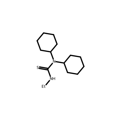 CCNC(=S)N(C1CCCCC1)C1CCCCC1